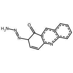 NN=NC1C=Cc2nc3ccccc3cc2C1=O